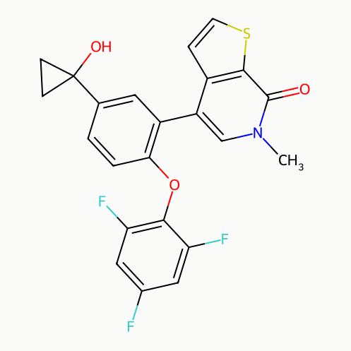 Cn1cc(-c2cc(C3(O)CC3)ccc2Oc2c(F)cc(F)cc2F)c2ccsc2c1=O